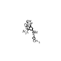 CCCN1C(=O)OC(C)c2cc(NSCc3ccc(C)cc3)cc(F)c21